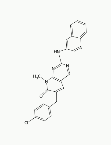 Cn1c(=O)c(Cc2ccc(Cl)cc2)cc2cnc(Nc3cnc4ccccc4c3)nc21